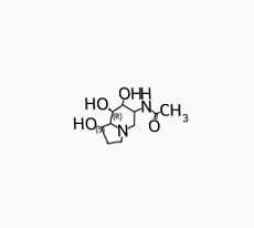 CC(=O)NC1CN2CC[C@H](O)C2[C@@H](O)C1O